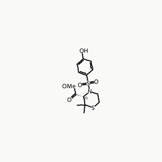 COC(=O)[C@@H]1N(S(=O)(=O)c2ccc(O)cc2)CCSC1(C)C